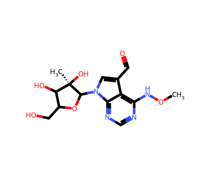 CONc1ncnc2c1c(C=O)cn2C1OC(CO)C(O)[C@@]1(C)O